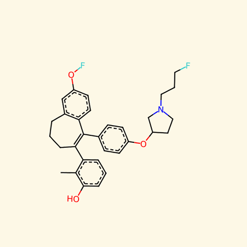 Cc1c(O)cccc1C1=C(c2ccc(OC3CCN(CCCF)C3)cc2)c2ccc(OF)cc2CCC1